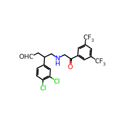 O=CCC(CNCC(=O)c1cc(C(F)(F)F)cc(C(F)(F)F)c1)c1ccc(Cl)c(Cl)c1